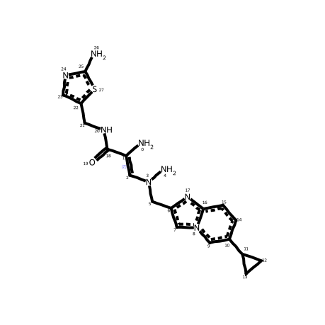 N/C(=C\N(N)Cc1cn2cc(C3CC3)ccc2n1)C(=O)NCc1cnc(N)s1